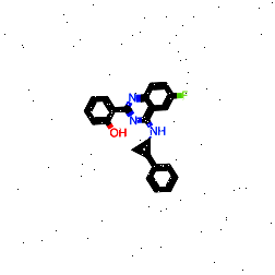 Oc1ccccc1-c1nc(N[C@H]2CC2c2ccccc2)c2cc(F)ccc2n1